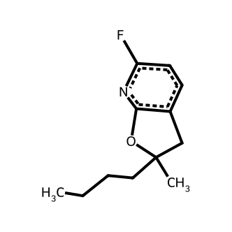 CCCCC1(C)Cc2ccc(F)nc2O1